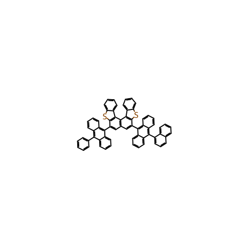 c1ccc(-c2c3ccccc3c(-c3cc4cc(-c5c6ccccc6c(-c6cccc7ccccc67)c6ccccc56)c5sc6ccccc6c5c4c4c3sc3ccccc34)c3ccccc23)cc1